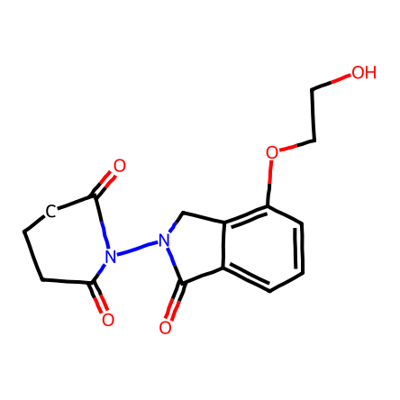 O=C1c2cccc(OCCO)c2CN1N1C(=O)CCCC1=O